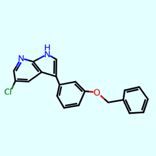 Clc1cnc2[nH]cc(-c3cccc(OCc4ccccc4)c3)c2c1